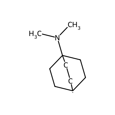 CN(C)C12CC[C](CC1)CC2